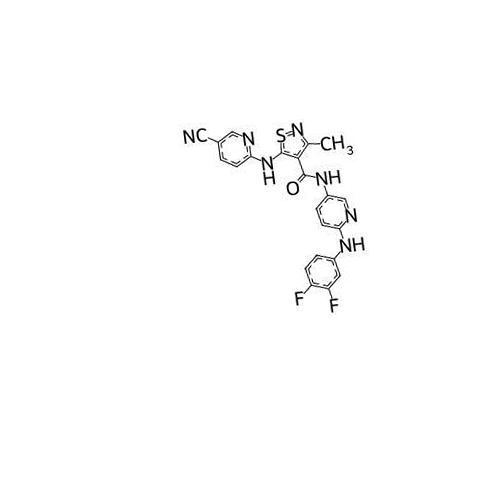 Cc1nsc(Nc2ccc(C#N)cn2)c1C(=O)Nc1ccc(Nc2ccc(F)c(F)c2)nc1